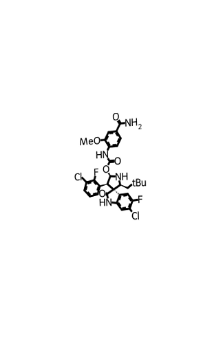 COc1cc(C(N)=O)ccc1NC(=O)O[C@H]1N[C@@H](CC(C)(C)C)[C@@]2(C(=O)Nc3cc(Cl)c(F)cc32)[C@H]1c1cccc(Cl)c1F